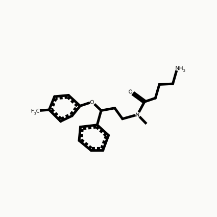 CN(CCC(Oc1ccc(C(F)(F)F)cc1)c1ccccc1)C(=O)CCCN